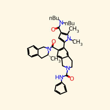 CCCCN(CCCC)C(=O)c1cc(-c2cc3c(cc2C(=O)N2Cc4ccccc4C[C@H]2C)CN(C(=O)Nc2ccccc2)CC3)n(C)c1C